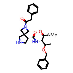 CNC(=O)[C@@H](NC(=O)[C@@H]1CNCC12CN(C(=O)Cc1ccccc1)C2)[C@@H](C)OCc1ccccc1